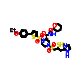 CCOc1ccc(-c2ccc(S(=O)(=O)N3CCN(S(=O)(=O)CC(S)Cc4ncc[nH]4)C[C@@H]3C(=O)NOC3CCCCO3)s2)cc1